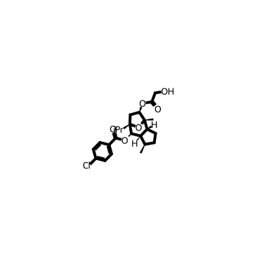 CC(C)[C@@]12C[C@@H](OC(=O)CO)[C@@](C)(O1)[C@@H]1CC[C@@H](C)[C@H]1[C@@H]2OC(=O)c1ccc(Cl)cc1